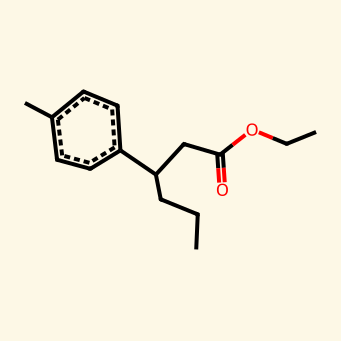 CCCC(CC(=O)OCC)c1ccc(C)cc1